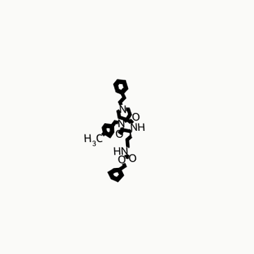 Cc1ccc(CN2C(=O)[C@H](CCCNC(=O)OCc3ccccc3)NC(=O)C23CCN(CCc2ccccc2)CC3)cc1